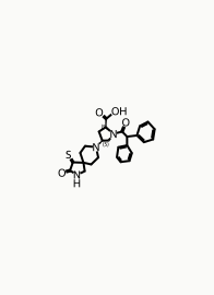 O=C1NCC2(CCN([C@H]3C[C@@H](C(=O)O)N(C(=O)C(c4ccccc4)c4ccccc4)C3)CC2)C1=S